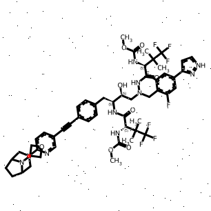 COC(=O)N[C@H](C(=O)N[C@@H](Cc1ccc(C#Cc2ccc(N3CC4CCC(C3)N4C3COC3)nc2)cc1)[C@@H](O)CN(Cc1c(F)cc(-c2cc[nH]n2)cc1F)NC(=O)[C@@H](NC(=O)OC)C(C)(C)C(F)(F)F)C(C)(C)C(F)(F)F